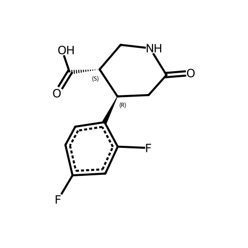 O=C1C[C@@H](c2ccc(F)cc2F)[C@H](C(=O)O)CN1